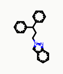 c1ccc(C(CCn2cc3ccccc3n2)c2ccccc2)cc1